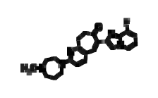 CN1CCCN(c2ccc3c(n2)CCC(=O)C(c2cn4cccc(F)c4n2)=C3)CC1